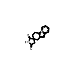 O=C1CC2(CCc3c(cc4ccccn34)C2)C(=O)N1